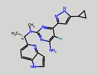 C[C@@H](c1ccc2[nH]ccc2n1)N(C)c1nc(N)c(F)c(-c2cc(C3CC3)[nH]n2)n1